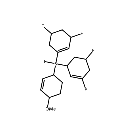 COC1C=CC(S(I)(C2=CC(F)CC(F)C2)C2C=C(F)CC(F)C2)CC1